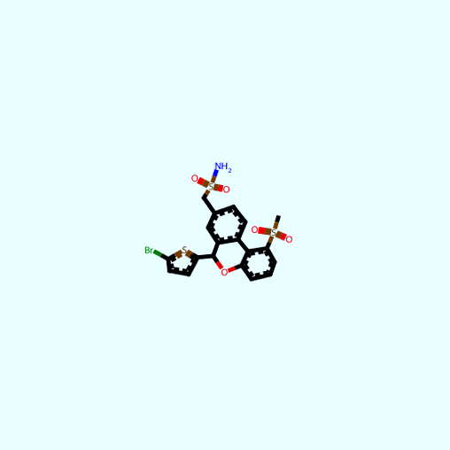 CS(=O)(=O)c1cccc2c1-c1ccc(CS(N)(=O)=O)cc1C(c1ccc(Br)s1)O2